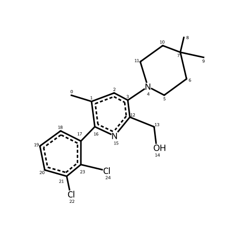 Cc1cc(N2CCC(C)(C)CC2)c(CO)nc1-c1cccc(Cl)c1Cl